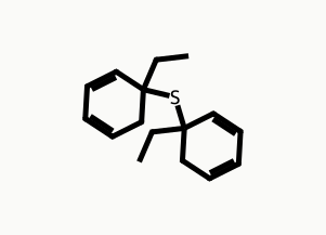 CCC1(SC2(CC)C=CC=CC2)C=CC=CC1